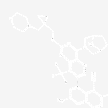 C#Cc1c(F)ccc2cc(O)cc(-c3cnc4c(N5CC6CCC(C5)N6)nc(OCC5(CN6CCOCC6)CC5)nc4c3C(F)(F)F)c12